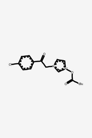 CC(C)(C)C(=O)O[n+]1ccn(CC(=O)c2ccc(Cl)cc2)c1